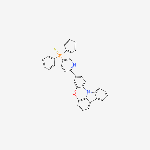 S=P(c1ccccc1)(c1ccccc1)c1ccc(-c2ccc3c(c2)Oc2cccc4c5ccccc5n-3c24)nc1